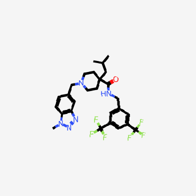 CC(C)CC1(C(=O)NCc2cc(C(F)(F)F)cc(C(F)(F)F)c2)CCN(Cc2ccc3c(c2)nnn3C)CC1